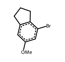 COc1cc(Br)c2c(c1)CCC2